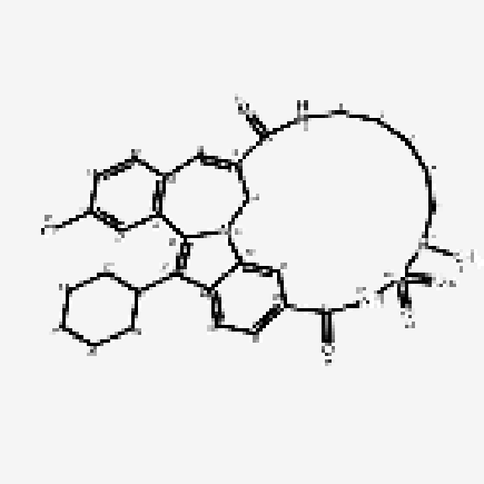 CN1CCCCCNC(=O)C2=Cc3ccc(Cl)cc3-c3c(C4CCCCC4)c4ccc(cc4n3C2)C(=O)NS1(=O)=O